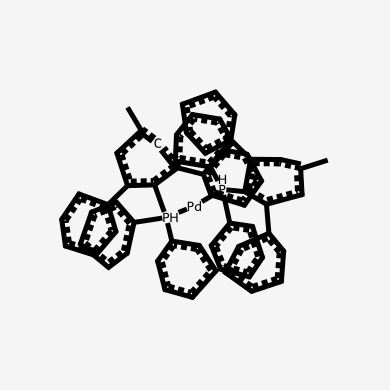 Cc1cc(-c2ccccc2)c([PH]([Pd][PH](c2ccccc2)(c2ccccc2)c2c(-c3ccccc3)cc(C)cc2-c2ccccc2)(c2ccccc2)c2ccccc2)c(-c2ccccc2)c1